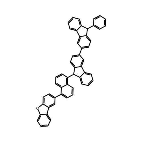 c1ccc(C2c3ccccc3-c3cc(-c4ccc5c(c4)-c4ccccc4C5c4cccc5c(-c6ccc7oc8ccccc8c7c6)cccc45)ccc32)cc1